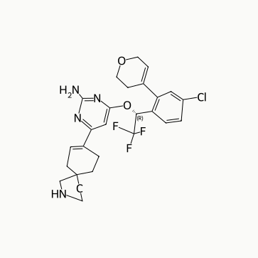 Nc1nc(O[C@H](c2ccc(Cl)cc2C2=CCOCC2)C(F)(F)F)cc(C2=CCC3(CCNC3)CC2)n1